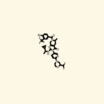 CC(Nc1nc2c(c(=O)n1-c1ccc(N3CCOC(C(F)F)C3)nc1)CC(C)N(C(=O)c1ccc(Br)c(C(F)(F)F)c1)C2)C1CC1